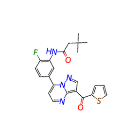 CC(C)(C)CC(=O)Nc1cc(-c2ccnc3c(C(=O)c4cccs4)cnn23)ccc1F